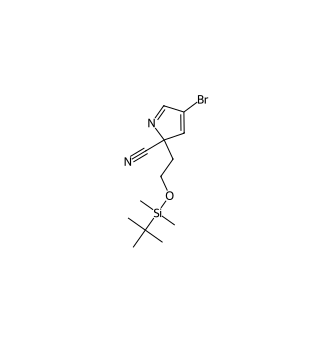 CC(C)(C)[Si](C)(C)OCCC1(C#N)C=C(Br)C=N1